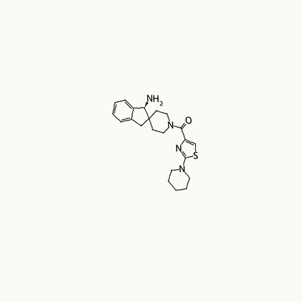 N[C@@H]1c2ccccc2CC12CCN(C(=O)c1csc(N3CCCCC3)n1)CC2